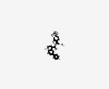 CS(=O)(=O)N1CCc2c(nn(C(=O)C3CCNc4ccc(-c5ccccc5)cc43)c2N)C1